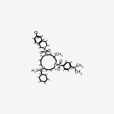 C[C@H]1CN(S(=O)(=O)c2ccc(N(C)C)cc2)CCCN([C@H](C)C2CCCCC2)CCCN(S(=O)(=O)N2CCc3cc(Cl)ccc3C2)C1